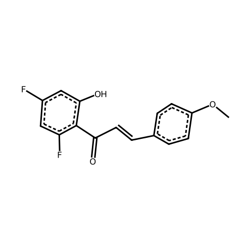 COc1ccc(/C=C/C(=O)c2c(O)cc(F)cc2F)cc1